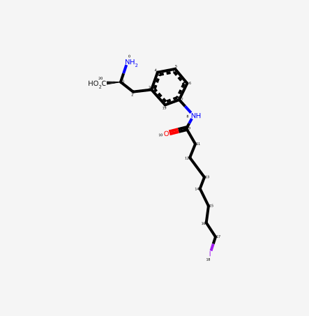 N[C@@H](Cc1cccc(NC(=O)CCCCCCCI)c1)C(=O)O